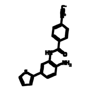 [C-]#[N+]c1ccc(C(=O)Nc2cc(-c3cccs3)ccc2N)cc1